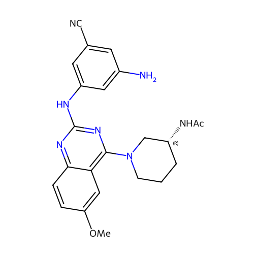 COc1ccc2nc(Nc3cc(N)cc(C#N)c3)nc(N3CCC[C@@H](NC(C)=O)C3)c2c1